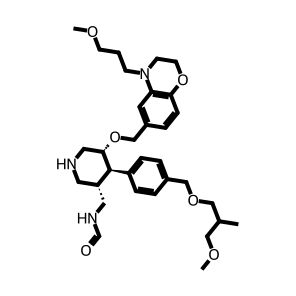 COCCCN1CCOc2ccc(CO[C@H]3CNC[C@@H](CNC=O)[C@@H]3c3ccc(COCC(C)COC)cc3)cc21